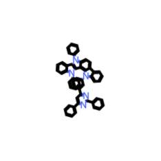 c1ccc(-c2cc(-c3cccc(-n4c5ccccc5c5ccc6c(c54)c4c(c5ccccc5n4-c4ccccc4)n6-c4ccccc4)c3)nc(-c3ccccc3)n2)cc1